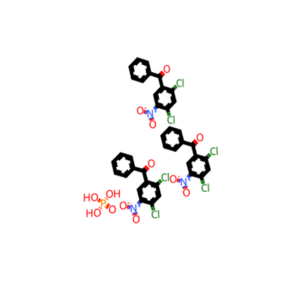 O=C(c1ccccc1)c1cc([N+](=O)[O-])c(Cl)cc1Cl.O=C(c1ccccc1)c1cc([N+](=O)[O-])c(Cl)cc1Cl.O=C(c1ccccc1)c1cc([N+](=O)[O-])c(Cl)cc1Cl.O=P(O)(O)O